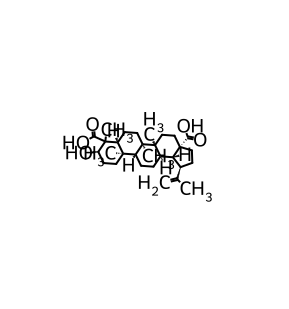 C=C(C)[C@@H]1CC[C@]2(C(=O)O)CC[C@]3(C)[C@H](CC[C@@H]4[C@@]5(C)CC[C@@H](O)C(C)(C(=O)O)[C@@H]5CC[C@]43C)[C@@H]12